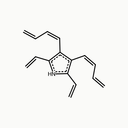 C=C/C=C\c1c(C=C)[nH]c(C=C)c1/C=C\C=C